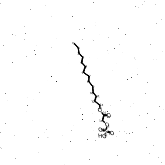 CCCCCCCCCCCCCCOC(=O)COS(=O)(=O)O